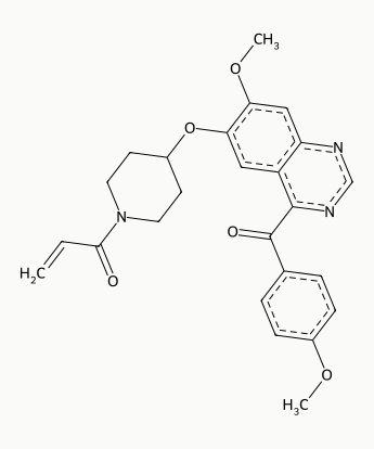 C=CC(=O)N1CCC(Oc2cc3c(C(=O)c4ccc(OC)cc4)ncnc3cc2OC)CC1